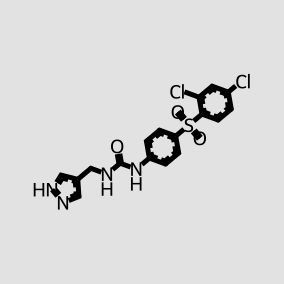 O=C(NCc1cn[nH]c1)Nc1ccc(S(=O)(=O)c2ccc(Cl)cc2Cl)cc1